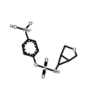 O=S(=O)(NC1C2COCC21)Oc1ccc([NH+]([O-])O)cc1